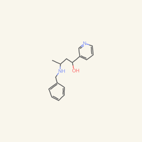 CC(CC(O)c1cccnc1)NCc1ccccc1